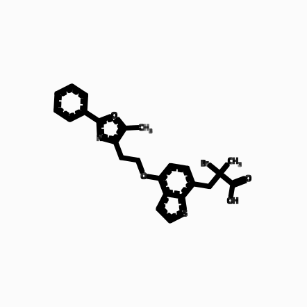 Cc1oc(-c2ccccc2)nc1CCOc1ccc(CC(C)(Br)C(=O)O)c2sccc12